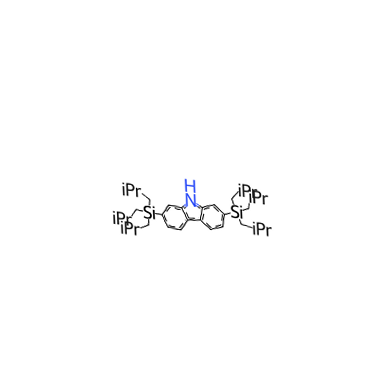 CC(C)C[Si](CC(C)C)(CC(C)C)c1ccc2c(c1)[nH]c1cc([Si](CC(C)C)(CC(C)C)CC(C)C)ccc12